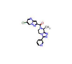 CC1c2nnc(-c3cccnc3)n2CCN1C(=O)c1cc2ncc(Cl)cn2n1